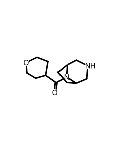 O=C(C1CCOCC1)N1C2CCC1CNC2